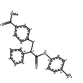 COC(=O)c1ccc(CN(C(=O)Oc2ccc([N+](=O)[O-])cc2)c2ccccc2)cc1